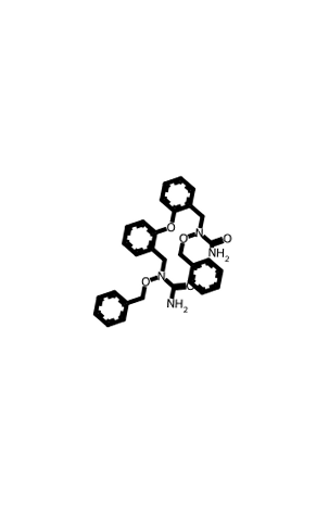 NC(=O)N(Cc1ccccc1Oc1ccccc1CN(OCc1ccccc1)C(N)=O)OCc1ccccc1